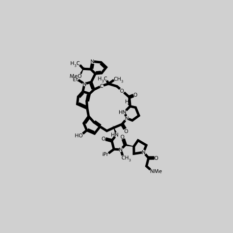 CCn1c(-c2cccnc2[C@H](C)OC)c2c3cc(ccc31)-c1cc(O)cc(c1)C[C@H](NC(=O)C(C(C)C)N(C)C(=O)[C@H]1CCN(C(=O)CNC)C1)C(=O)N1CCC[C@H](N1)C(=O)OCC(C)(C)C2